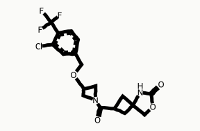 O=C1NC2(CO1)CC(C(=O)N1CC(OCc3ccc(C(F)(F)F)c(Cl)c3)C1)C2